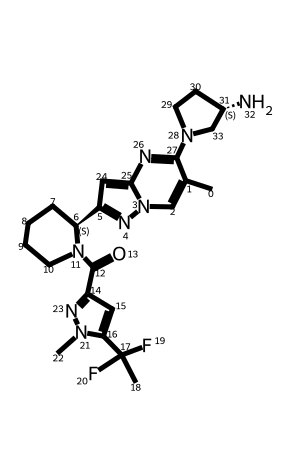 Cc1cn2nc([C@@H]3CCCCN3C(=O)c3cc(C(C)(F)F)n(C)n3)cc2nc1N1CC[C@H](N)C1